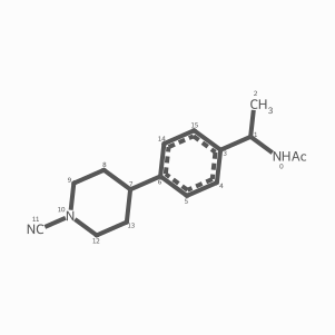 CC(=O)NC(C)c1ccc(C2CCN(C#N)CC2)cc1